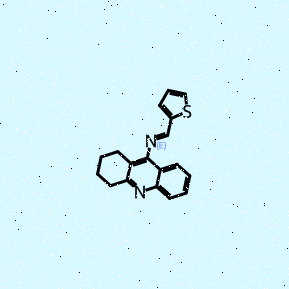 C(=N\c1c2c(nc3ccccc13)CCCC2)/c1cccs1